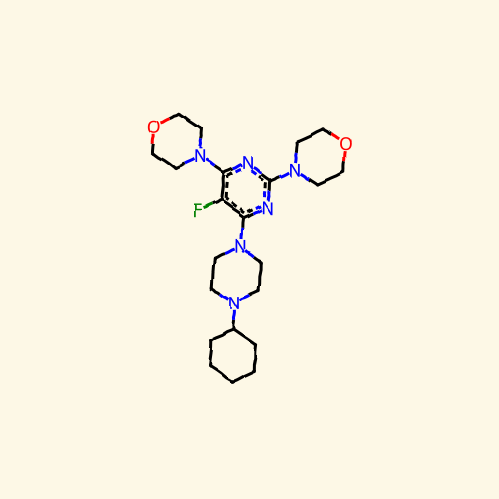 Fc1c(N2CCOCC2)nc(N2CCOCC2)nc1N1CCN(C2CCCCC2)CC1